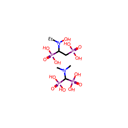 CCN(O)C(CP(=O)(O)O)P(=O)(O)O.CN(C)C(P(=O)(O)O)P(=O)(O)O